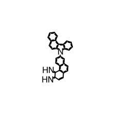 N=C1C=Cc2ccc3cc(-n4c5ccccc5c5c6ccccc6ccc54)ccc3c2C1=N